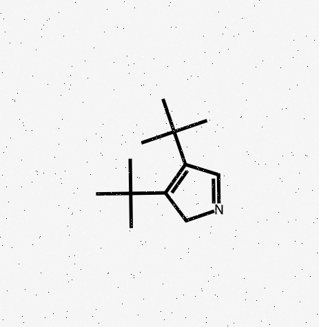 CC(C)(C)C1=C(C(C)(C)C)CN=C1